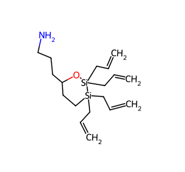 C=CC[Si]1(CC=C)CCC(CCCN)O[Si]1(CC=C)CC=C